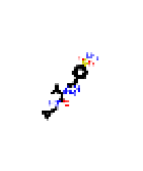 CC(C)C(C(=O)NCC1CC1)n1cc(-c2ccc(S(N)(=O)=O)cc2)nn1